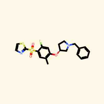 Cc1cc(S(=O)(=O)c2n[c]cs2)c(F)cc1O[C@H]1CCN(Cc2ccccc2)C1